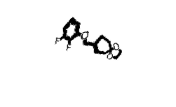 Fc1cccc(OCC2CCC3(CC2)OCCO3)c1F